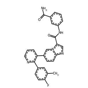 Cc1cc(-c2ncccc2-c2ccc3ncc(C(=O)Nc4cccc(C(N)=O)c4)n3c2)ccc1F